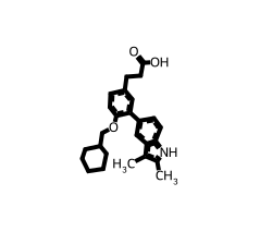 Cc1[nH]c2ccc(-c3cc(CCC(=O)O)ccc3OCC3CCCCC3)cc2c1C